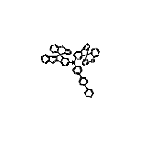 c1ccc(-c2ccc(-c3ccc(N(c4ccc5c(c4)C4(c6ccccc6Oc6ccccc64)c4ccccc4-5)c4ccc5c(c4)C4(c6ccccc6Sc6ccccc64)c4cc6ccccc6cc4-5)cc3)cc2)cc1